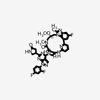 CO[C@H]1CN(C)C(=O)[C@@H]2C[C@@H](CN2c2nc(C3CNC(=O)C3)nc3c2cnn3-c2ccc(F)cc2F)Nc2cccc(n2)-c2cc(F)cc3nc(C)n(c23)C1